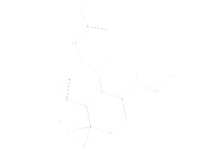 COC1C(O[C]=O)CCC2(CO2)C1[C@@]1(C)O[C@@H]1CC=C(C)C